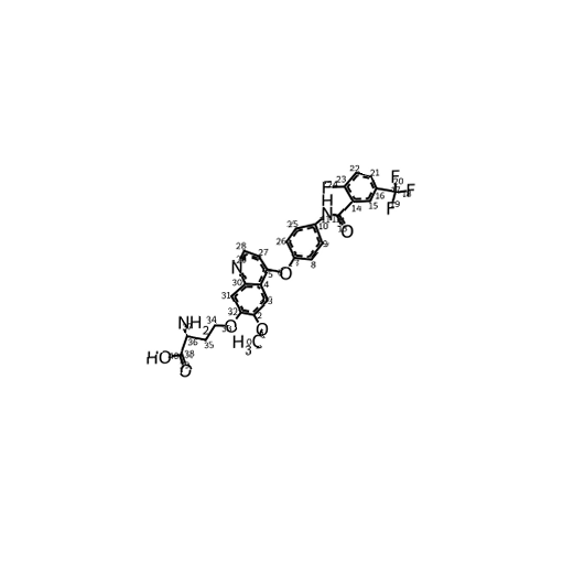 COc1cc2c(Oc3ccc(NC(=O)c4cc(C(F)(F)F)ccc4F)cc3)ccnc2cc1OCC[C@H](N)C(=O)O